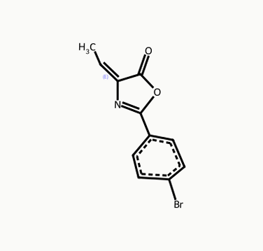 C/C=C1/N=C(c2ccc(Br)cc2)OC1=O